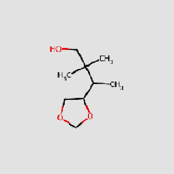 CC(C1COCO1)C(C)(C)CO